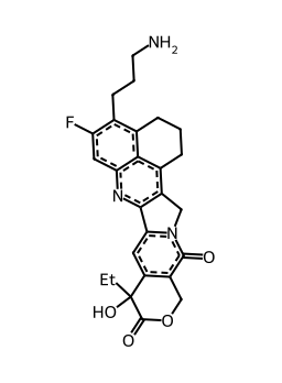 CCC1(O)C(=O)OCc2c1cc1n(c2=O)Cc2c-1nc1cc(F)c(CCCN)c3c1c2CCC3